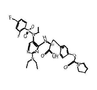 CCN(CC)c1ncc(N(CC)S(=O)(=O)c2ccc(F)cc2F)c(N[C@@H](Cc2ccc(OC(=O)N3CCCC3)cc2)C(=O)O)n1